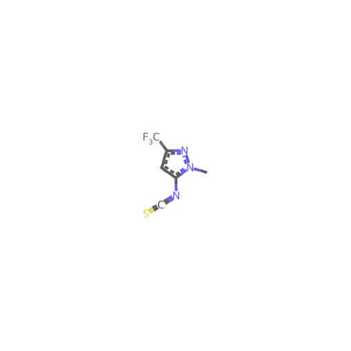 Cn1nc(C(F)(F)F)cc1N=C=S